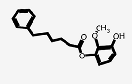 COc1c(O)cccc1OC(=O)CCCCCc1ccccc1